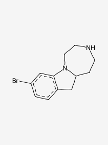 Brc1ccc2c(c1)N1CCNCCC1C2